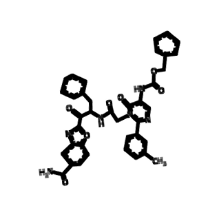 Cc1cccc(-c2ncc(NC(=O)OCc3ccccc3)c(=O)n2CC(=O)NC(Cc2ccccc2)C(=O)c2nc3cc(C(N)=O)ccc3o2)c1